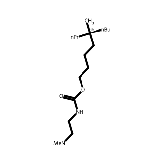 CCCC[C@](C)(CCC)CCCCOC(=O)NCCNC